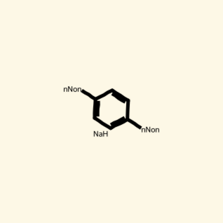 CCCCCCCCCc1ccc(CCCCCCCCC)cc1.[NaH]